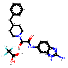 Nc1nc2ccc(NC(=O)C(=O)N3CCC(Cc4ccccc4)CC3)cc2[nH]1.O=C(O)C(F)(F)F